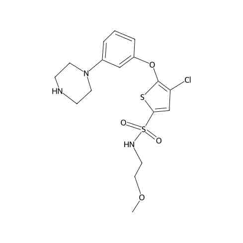 COCCNS(=O)(=O)c1cc(Cl)c(Oc2cccc(N3CCNCC3)c2)s1